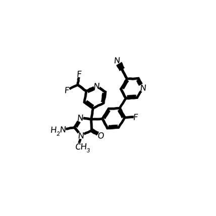 CN1C(=O)C(c2ccnc(C(F)F)c2)(c2ccc(F)c(-c3cncc(C#N)c3)c2)N=C1N